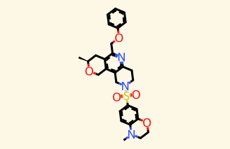 C[C@H]1Cc2c(COc3ccccc3)nc3c(c2CO1)CN(S(=O)(=O)c1ccc2c(c1)OCCN2C)CC3